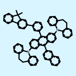 CC1(C)c2ccccc2-c2ccc(-c3cccc(-c4c5ccc(N6c7ccccc7CCc7ccccc76)cc5c(-c5ccc6ccccc6c5)c5ccc(N6c7ccccc7CCc7ccccc76)cc45)c3)cc21